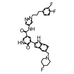 O=C(Nc1cnn(CCCc2ccc(F)c(F)c2)c1)c1c[nH]c(=O)c(-c2cc3cc(CN4CCC(F)CC4)ccc3[nH]2)c1